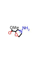 COC(=O)C1CN(N)CCO1